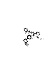 CC(C)(c1ccccc1Cl)c1nc(C2CCCN2C(=O)O)cn1-c1ccc(-c2cccc(S(C)(=O)=O)c2)cc1